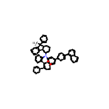 CC1(c2ccccc2)c2ccccc2-c2c(N(c3cccc(-c4ccc(-c5cccc6ccccc56)cc4)c3)c3ccccc3-c3ccccc3-c3ccccc3)cccc21